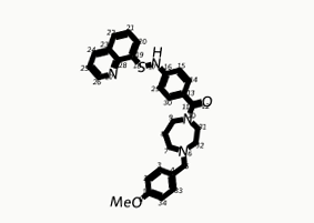 COc1ccc(CN2CCCN(C(=O)c3ccc(NSc4cccc5cccnc45)cc3)CC2)cc1